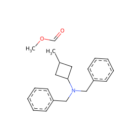 CC1CC(N(Cc2ccccc2)Cc2ccccc2)C1.COC=O